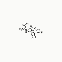 Cc1c(CC(=O)NC(C)CC(=O)O)c2cc(O)c(F)cc2n1C(=O)c1ccc(F)cc1